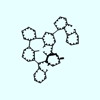 C=C/C=C\c1oc2ccccc2c1-c1cccc2c1-n1c3ccccc3c3cc(-c4cccc5oc6ccccc6c45)cc(c31)-c1ccccc1-2